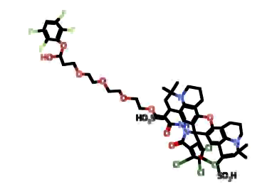 CC1(C)C=C(CS(=O)(=O)O)c2cc3c(c4c2N1CCC4)Oc1c(cc2c4c1CCCN4C(C)(C)CC2CS(=O)(=O)O)C31c2c(Cl)c(Cl)c(Cl)c(Cl)c2C(=O)N1NC(=O)CCOCCOCCOCCOCCC(O)Oc1c(F)c(F)cc(F)c1F